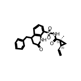 C=C[C@@H]1C[C@]1(C)C(=O)NS(=O)(=O)c1cccc2c1NC(=O)CC2Cc1ccccc1